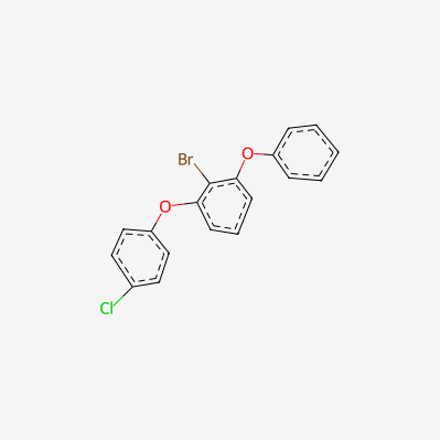 Clc1ccc(Oc2cccc(Oc3ccccc3)c2Br)cc1